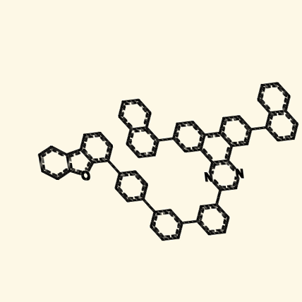 c1cc(-c2ccc(-c3cccc4c3oc3ccccc34)cc2)cc(-c2cccc(-c3cnc4c5cc(-c6cccc7ccccc67)ccc5c5ccc(-c6cccc7ccccc67)cc5c4n3)c2)c1